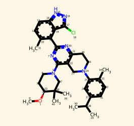 CO[C@H]1CCN(c2nc(-c3c(C)ccc4[nH]nc(Cl)c34)nc3c2CN(c2cc(C(C)C)ccc2C)CC3)CC1(C)C